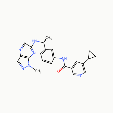 C[C@H](Nc1cnc2cnn(C)c2n1)c1cccc(NC(=O)c2cncc(C3CC3)c2)c1